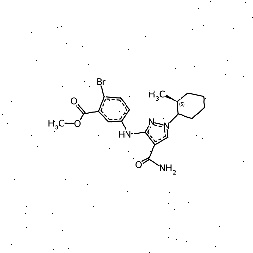 COC(=O)c1cc(Nc2nn(C3CCCC[C@@H]3C)cc2C(N)=O)ccc1Br